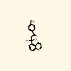 N#CC(CC(=O)c1ccc(N)cc1)(c1cccc2ncccc12)C(F)(F)F